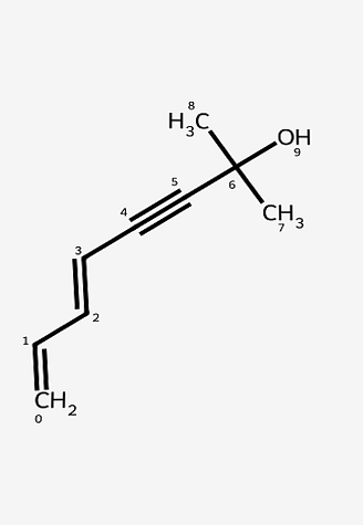 C=CC=CC#CC(C)(C)O